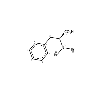 O=C(O)[C@H](Cc1ccccc1)N(Br)Br